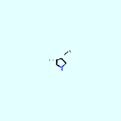 C1CCNC1.CCCC.Cl